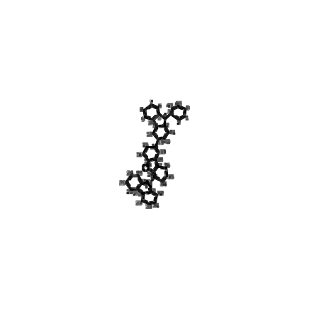 c1ccc(C2c3ccccc3-c3cc(-c4ccc5oc6c(-n7c8ccccc8c8ccccc87)cccc6c5c4)ccc32)cc1